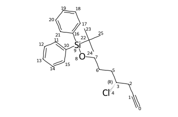 C#CC[C@H](Cl)CCCO[Si](c1ccccc1)(c1ccccc1)C(C)(C)C